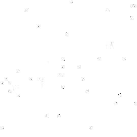 C#Cc1cc2nc(NCC)oc2cc1F